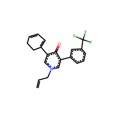 C=CCn1cc(C2=CC=CCC2)c(=O)c(-c2cccc(C(F)(F)F)c2)c1